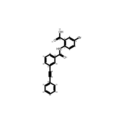 O=C(Nc1ccc(Br)cc1C(=O)O)c1cccc(C#Cc2ccccc2)c1